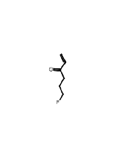 C=CC(=O)CCCF